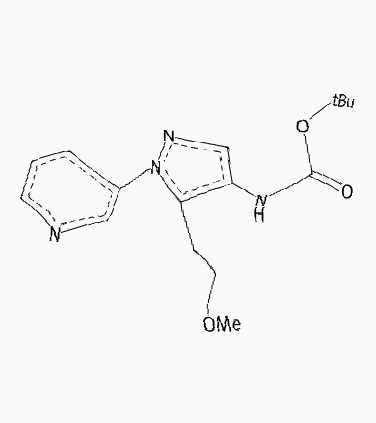 COCCc1c(NC(=O)OC(C)(C)C)cnn1-c1cccnc1